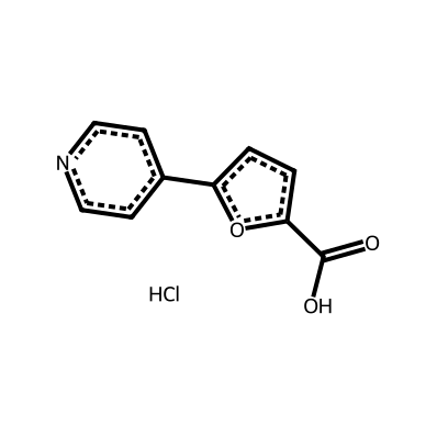 Cl.O=C(O)c1ccc(-c2ccncc2)o1